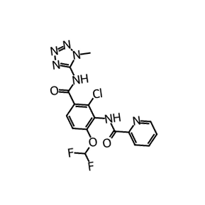 Cn1nnnc1NC(=O)c1ccc(OC(F)F)c(NC(=O)c2ccccn2)c1Cl